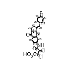 O=C(O)/C(Cl)=C(/Cl)C(=O)Nc1ccc2c(=O)n3c(nc2c1)/C(=C/c1ccc(F)cc1)CC3